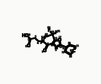 O=C(O)CCNC(=O)c1nc(-c2ccccc2)oc1C(F)(F)F